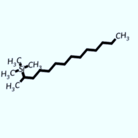 CCCCCCCCCCCCC(C)[Si](C)(C)C